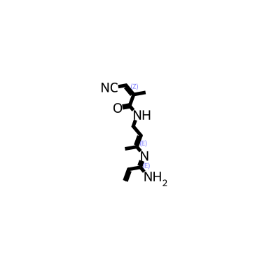 C=C/C(N)=N\C(C)=C\CNC(=O)/C(C)=C\C#N